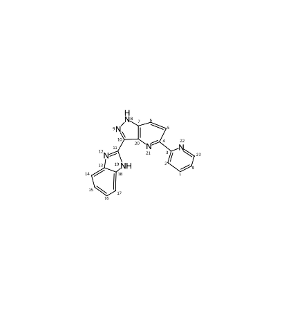 c1ccc(-c2ccc3[nH]nc(-c4nc5ccccc5[nH]4)c3n2)nc1